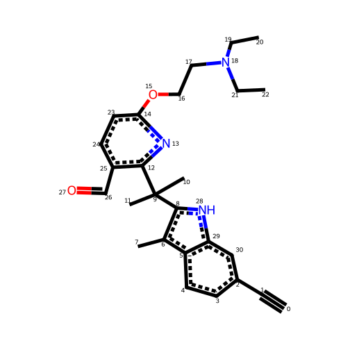 C#Cc1ccc2c(C)c(C(C)(C)c3nc(OCCN(CC)CC)ccc3C=O)[nH]c2c1